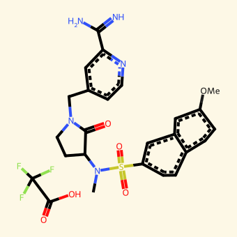 COc1ccc2ccc(S(=O)(=O)N(C)C3CCN(Cc4ccnc(C(=N)N)c4)C3=O)cc2c1.O=C(O)C(F)(F)F